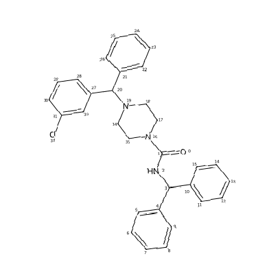 O=C(NC(c1ccccc1)c1ccccc1)N1CCN(C(c2ccccc2)c2cccc(Cl)c2)CC1